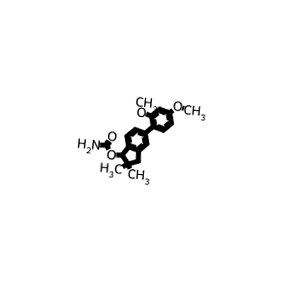 COc1ccc(-c2ccc3c(c2)CC(C)(C)C3OC(N)=O)c(OC)c1